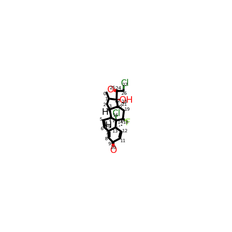 CC1C[C@H]2[C@@H]3C=CC4=CC(=O)C=C[C@]4(C)[C@@]3(Cl)C(F)C[C@]2(C)[C@@]1(O)C(=O)CCl